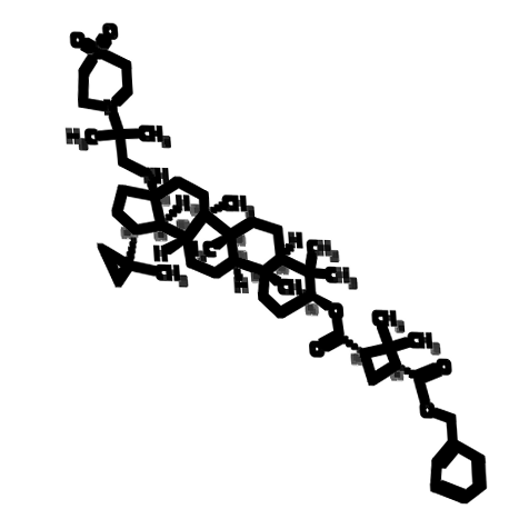 CC1([C@@H]2CC[C@]3(NCC(C)(C)N4CCS(=O)(=O)CC4)CC[C@]4(C)[C@H](CC[C@@H]5[C@@]6(C)CC[C@H](OC(=O)[C@H]7C[C@@H](C(=O)OCc8ccccc8)C7(C)C)C(C)(C)[C@@H]6CC[C@]54C)[C@@H]23)CC1